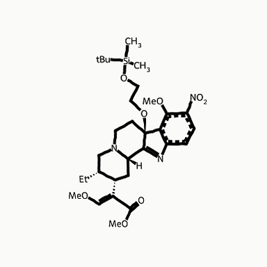 CC[C@@H]1CN2CC[C@@]3(OCCO[Si](C)(C)C(C)(C)C)C(=Nc4ccc([N+](=O)[O-])c(OC)c43)[C@@H]2C[C@@H]1/C(=C\OC)C(=O)OC